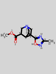 COC(=O)C1CN2CCC1C(c1nc(C)no1)C2